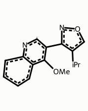 COc1c(-c2nocc2C(C)C)[c]nc2ccccc12